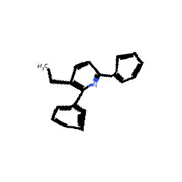 CCc1ccc(-c2ccccc2)nc1-c1ccccc1